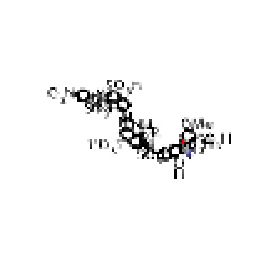 COc1ccc(/N=N\c2c(S(=O)(=O)O)cc3cc(N=Nc4c(S(=O)(=O)O)cc5c(S(=O)(=O)O)cc(N=Nc6ccc7cc(S(=O)(=O)O)c(N=Nc8ccc([N+](=O)[O-])cc8S(=O)(=O)O)c(O)c7c6)c(N)c5c4O)ccc3c2O)c(S(=O)(=O)O)c1